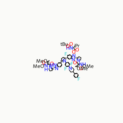 COC(=O)N[C@H](C(=O)N1CCC[C@H]1c1nc2ccc([C@H]3CC[C@H](c4cc5nc([C@@H]6CCCN6C(=O)[C@@H](NC(=O)OC)[C@@H](C)OC)n(COC(=O)C(NC(=O)OC(C)(C)C)C(C)C)c5cc4F)N3c3cc(F)c(N4CCC(c5ccc(F)cc5)CC4)c(F)c3)cc2[nH]1)[C@@H](C)OC